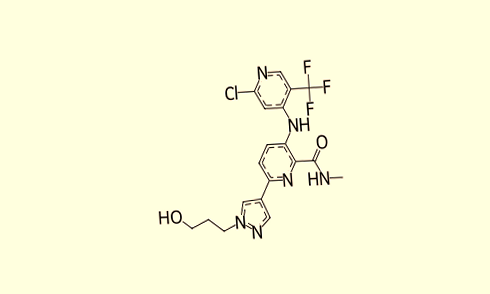 CNC(=O)c1nc(-c2cnn(CCCO)c2)ccc1Nc1cc(Cl)ncc1C(F)(F)F